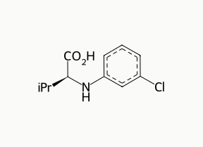 CC(C)[C@H](Nc1cccc(Cl)c1)C(=O)O